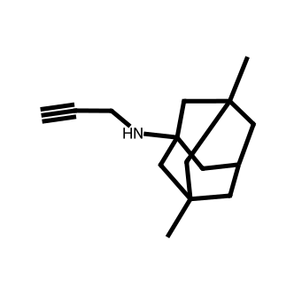 C#CCNC12CC3CC(C)(CC(C)(C3)C1)C2